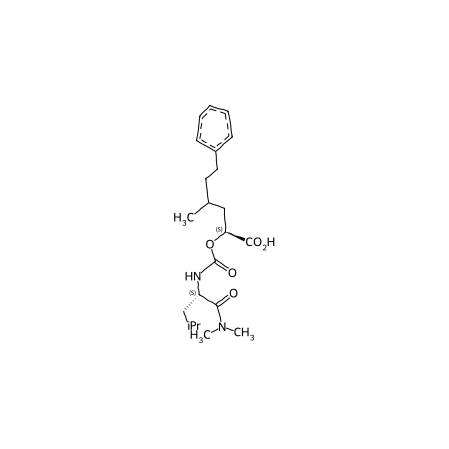 CC(C)C[C@H](NC(=O)O[C@@H](CC(C)CCc1ccccc1)C(=O)O)C(=O)N(C)C